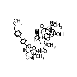 CCCCc1ccc(-c2ccc(C(=O)N[C@H](CO)C(=O)N[C@H](C)C(=O)NCC(=O)N(C)[C@@H](Cc3c[nH]cn3)C(=O)N[C@@H](C)C(=O)N[C@@H](CC(C)(N)N(O)CB(O)O)C(C)=O)cc2)cc1